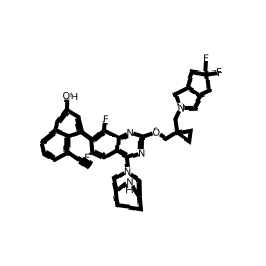 C#Cc1cccc2cc(O)cc(-c3c(F)cc4c(N5CC6CCC(C5)N6)nc(OCC5(CN6CC7CC(F)(F)CC7C6)CC5)nc4c3F)c12